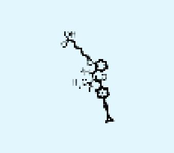 [2H]C(c1ccccc1OCCCCCC(=O)O)N(C(=O)c1ccc(C#CC2CC2)cc1)C(C)C